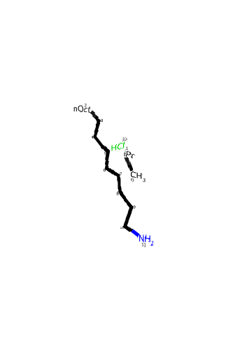 CC(C)C.CCCCCCCCCCCCCCCCN.Cl